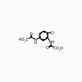 O=C(O)C(=O)Nc1ccc(Cl)c(NC(=O)C(=O)O)c1